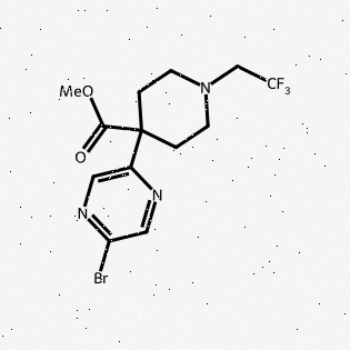 COC(=O)C1(c2cnc(Br)cn2)CCN(CC(F)(F)F)CC1